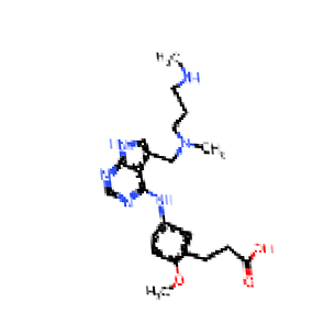 CNCCCN(C)Cc1c[nH]c2ncnc(Nc3ccc(OC)c(CCC(=O)O)c3)c12